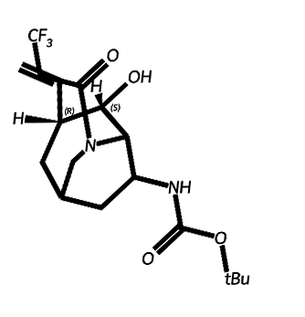 C=C[C@H]1CC2CC(NC(=O)OC(C)(C)C)C([C@H]1O)N(C(=O)CC(F)(F)F)C2